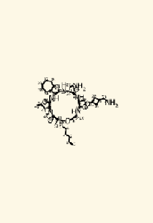 CCCCCC[C@H]1OC[C@@H](C)NC(=O)[C@H](COC2CC(CN)C2)NC(=O)[C@H](CN)NC(=O)[C@H](C2CCCCCC2)NC(=O)[C@H](CCC)N(C)C(=O)[C@@H]1C